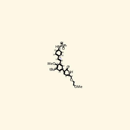 COCCOCc1ccc(-c2cc(/C=C/c3ccc(NS(C)(=O)=O)cc3)c(OC)c(C(C)(C)C)c2)c(=O)[nH]1